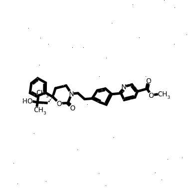 COC(=O)c1ccc(-c2ccc(CCN3CC[C@](CC(C)(C)O)(c4ccccc4)OC3=O)cc2)nc1